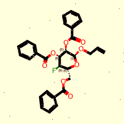 C=CCO[C@H]1O[C@H](COC(=O)c2ccccc2)[C@@H](F)[C@H](OC(=O)c2ccccc2)[C@H]1OC(=O)c1ccccc1